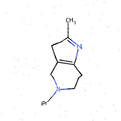 CC1=NC2=C(C1)CN(C(C)C)CC2